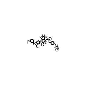 O=C(Nc1ccc(CN2CCOCC2)cc1)c1sc2ncnc3c2c1NC(=O)N3c1ccc(Oc2cccc(F)c2)c(Cl)c1